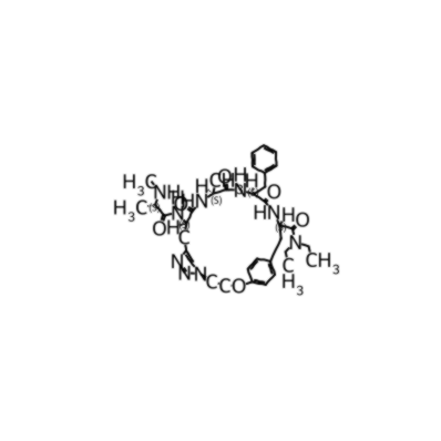 CCN(CC)C(=O)[C@@H]1Cc2ccc(cc2)OCCn2cc(nn2)C[C@H](NC(=O)[C@H](C)NC)C(=O)N[C@@H](C)C(=O)N[C@@H](Cc2ccccc2)C(=O)N1